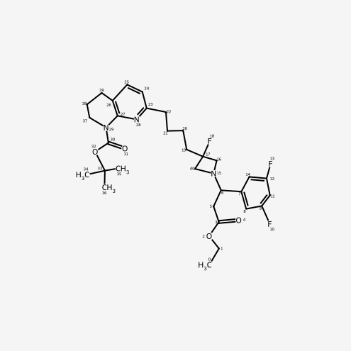 CCOC(=O)CC(c1cc(F)cc(F)c1)N1CC(F)(CCCCc2ccc3c(n2)N(C(=O)OC(C)(C)C)CCC3)C1